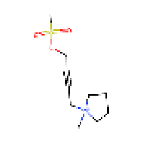 C[N+]1(CC#CCOS(C)(=O)=O)CCCC1